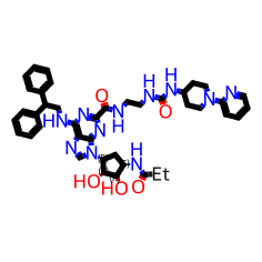 CCC(=O)N[C@H]1C[C@@H](n2cnc3c(NCC(c4ccccc4)c4ccccc4)nc(C(=O)NCCNC(=O)NC4CCN(c5ccccn5)CC4)nc32)[C@H](O)[C@@H]1O